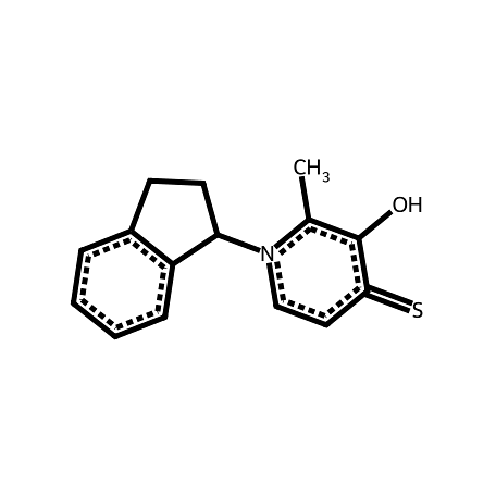 Cc1c(O)c(=S)ccn1C1CCc2ccccc21